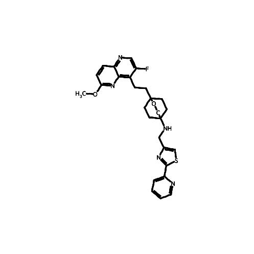 COc1ccc2ncc(F)c(CCC34CCC(NCc5csc(-c6ccccn6)n5)(CC3)CO4)c2n1